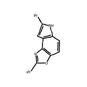 CC(C)c1cc2c(ccc3oc(C(C)C)nc32)[nH]1